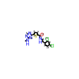 CNc1ncnc(-c2ccc(C(=O)NCCc3ccc(Cl)cc3Cl)s2)n1